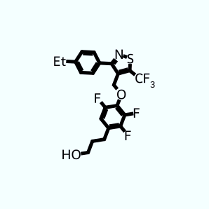 CCc1ccc(-c2nsc(C(F)(F)F)c2COc2c(F)cc(CCCO)c(F)c2F)cc1